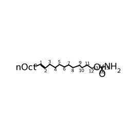 CCCCCCCCC=CCCCCCCCCCCOC(N)=O